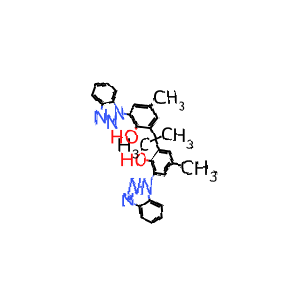 Cc1cc(-n2nnc3ccccc32)c(O)c(C(C)(C)c2cc(C)cc(-n3nnc4ccccc43)c2O)c1